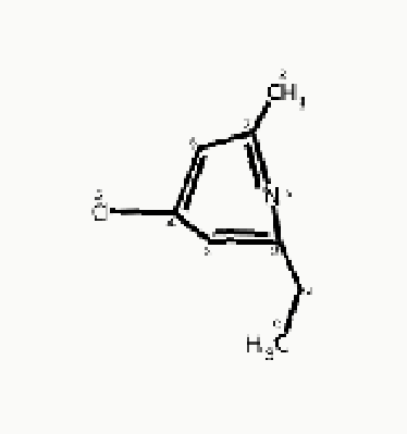 CCc1cc(Cl)[c]c(C)n1